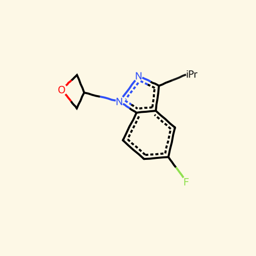 CC(C)c1nn(C2COC2)c2ccc(F)cc12